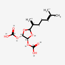 C=C(CCC=C(C)C)C1O[C@@H](OC(=O)O)[C@H](OC(=O)O)O1